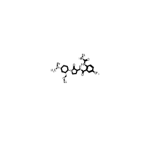 CCNC(=O)Nc1ccc(C(F)(F)F)cc1C(=O)NC1CCN([C@H]2CC[C@@H](N(C)C(C)C)C[C@H]2COCC)C1=O